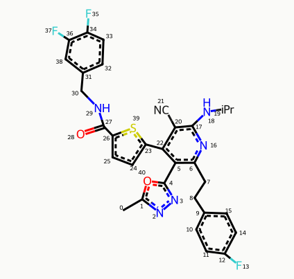 Cc1nnc(-c2c(CCc3ccc(F)cc3)nc(NC(C)C)c(C#N)c2-c2ccc(C(=O)NCc3ccc(F)c(F)c3)s2)o1